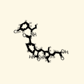 CCC(NC(=O)c1ccc2c(c1)C(=Cc1[nH]c(C)c(CCC(=O)O)c1C)C(=O)N2)c1cccc(Cl)c1